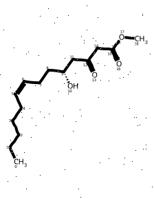 CCCCC/C=C\CC[C@@H](O)CC(=O)CC(=O)OC